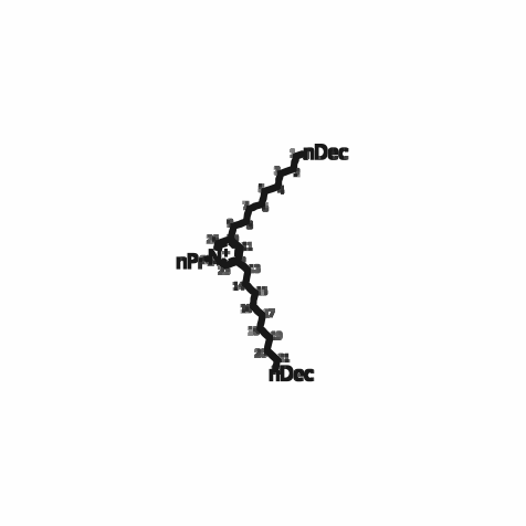 CCCCCCCCCCCCCCCCCCCc1cc(CCCCCCCCCCCCCCCCCCC)c[n+](CCC)c1